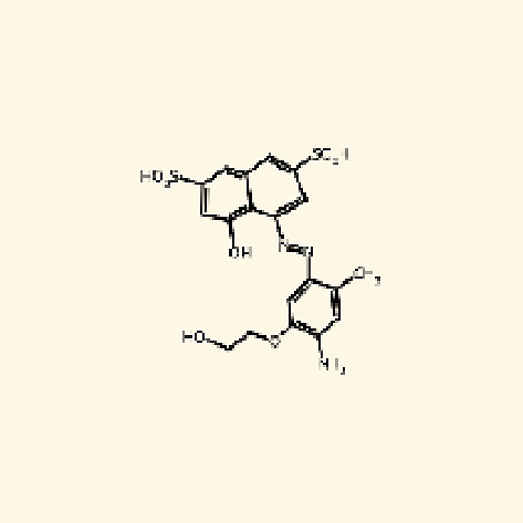 Cc1cc(N)c(OCCO)cc1N=Nc1cc(S(=O)(=O)O)cc2cc(S(=O)(=O)O)cc(O)c12